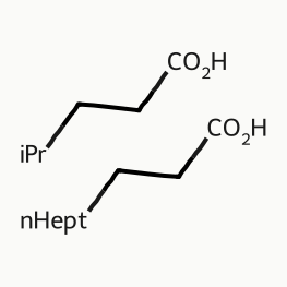 CC(C)CCC(=O)O.CCCCCCCCCC(=O)O